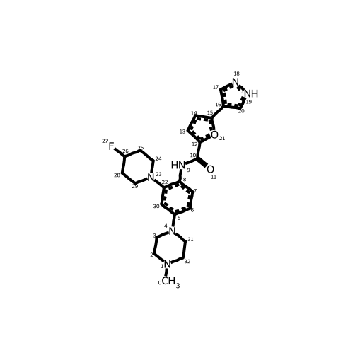 CN1CCN(c2ccc(NC(=O)c3ccc(-c4cn[nH]c4)o3)c(N3CCC(F)CC3)c2)CC1